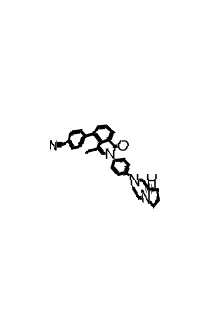 Cc1cn(-c2ccc(N3CCN4CCC[C@H]4C3)cc2)c(=O)c2cccc(-c3ccc(C#N)cc3)c12